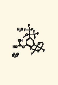 COC(c1cc(OB(O)O)cc(C(OC)(C(F)(F)F)C(F)(F)F)c1)(C(F)(F)F)C(F)(F)F.O.O.O